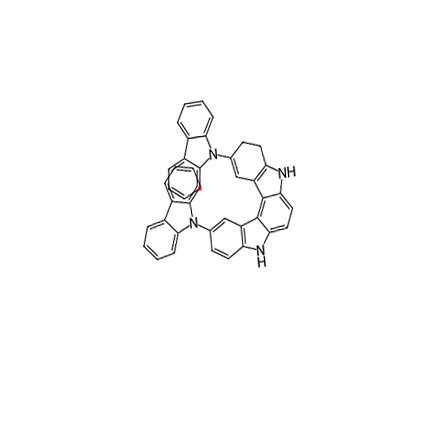 C1=C(n2c3ccccc3c3ccccc32)CCc2[nH]c3ccc4[nH]c5ccc(-n6c7ccccc7c7ccccc76)cc5c4c3c21